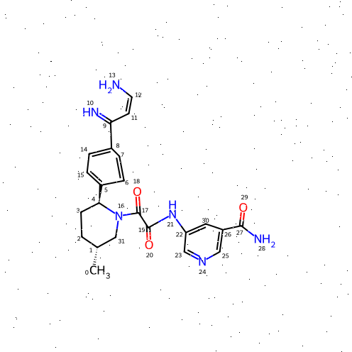 C[C@@H]1CC[C@@H](c2ccc(C(=N)/C=C\N)cc2)N(C(=O)C(=O)Nc2cncc(C(N)=O)c2)C1